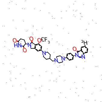 [2H]c1ccc2ncn(-c3ccc(N4CCN(CC5CCN(c6cc7c(c(OC(F)(F)F)c6)C(=O)N(C6CCC(=O)NC6=O)C7)CC5)CC4)cc3)c(=O)c2c1